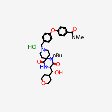 CCCCN1C(=O)[C@@H]([C@H](O)C2CCOCC2)NC(=O)C12CCN(Cc1ccc(Oc3ccc(C(=O)NC)cc3)cc1)CC2.Cl